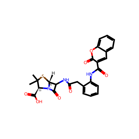 CC1(C)S[C@@H]2C(NC(=O)Cc3ccccc3NC(=O)c3cc4ccccc4oc3=O)C(=O)N2[C@H]1C(=O)O